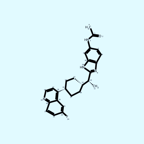 CC(=O)Nc1ccc2nc([C@H](C)[C@H]3CC[C@@H](c4ccnc5ccc(F)cc54)CC3)[nH]c2c1